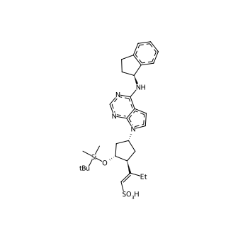 CC/C(=C\S(=O)(=O)O)[C@@H]1C[C@@H](n2ccc3c(N[C@H]4CCc5ccccc54)ncnc32)C[C@H]1O[Si](C)(C)C(C)(C)C